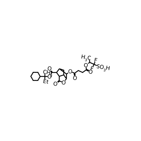 CCC(C)(OC(=O)C1C2CC3C(OC(=O)C31)C2OC(=O)CCC(=O)OC(C)C(F)(F)S(=O)(=O)O)C1CCCCC1